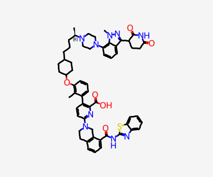 Cc1c(OC2CCC(CCC[C@@H](C)N3CCN(c4cccc5c(C6CCC(=O)NC6=O)nn(C)c45)CC3)CC2)cccc1-c1ccc(N2CCc3cccc(C(=O)Nc4nc5ccccc5s4)c3C2)nc1C(=O)O